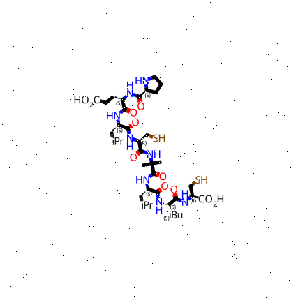 CC[C@H](C)[C@H](NC(=O)[C@H](CC(C)C)NC(=O)C(C)(C)NC(=O)[C@H](CS)NC(=O)[C@H](CC(C)C)NC(=O)[C@H](CCC(=O)O)NC(=O)[C@@H]1CCCN1)C(=O)N[C@@H](CS)C(=O)O